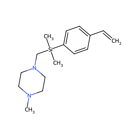 C=Cc1ccc([Si](C)(C)CN2CCN(C)CC2)cc1